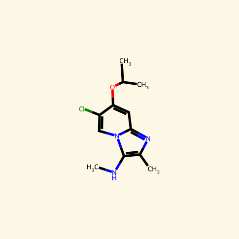 CNc1c(C)nc2cc(OC(C)C)c(Cl)cn12